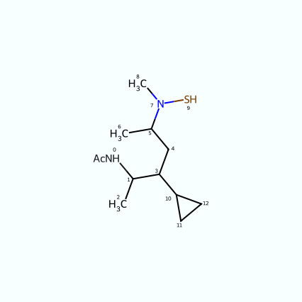 CC(=O)NC(C)C(CC(C)N(C)S)C1CC1